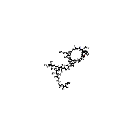 C=C(CBr)C(=O)OC(C)CCCCC(=O)N[C@H](C(=O)N[C@@H](CCCNC(N)=O)C(=O)Nc1ccc(NC(=O)O[C@H]2CC(=O)N(C)c3cc(cc(OC)c3Cl)C/C(C)=C/C=C/[C@@H](OC)[C@@]3(O)C[C@H](OC(=O)N3)[C@@H](C)[C@@H]3O[C@@]23C)cc1)C(C)C